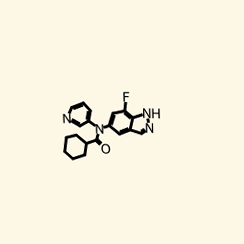 O=C(C1CCCCC1)N(c1cccnc1)c1cc(F)c2[nH]ncc2c1